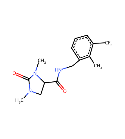 Cc1c(CNC(=O)C2CN(C)C(=O)N2C)cccc1C(F)(F)F